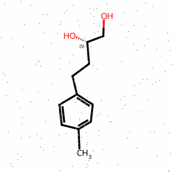 Cc1ccc(CC[C@H](O)CO)cc1